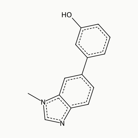 Cn1cnc2ccc(-c3cccc(O)c3)cc21